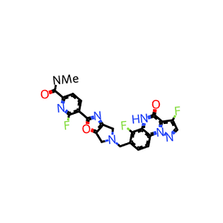 CNC(=O)c1ccc(-c2nc3c(o2)CN(Cc2ccc4c([nH]c(=O)c5c(F)cnn54)c2F)C3)c(F)n1